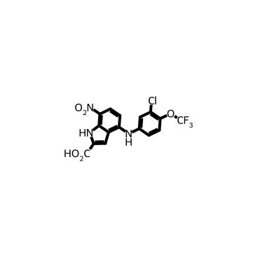 O=C(O)c1cc2c(Nc3ccc(OC(F)(F)F)c(Cl)c3)ccc([N+](=O)[O-])c2[nH]1